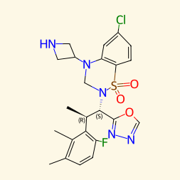 Cc1ccc(F)c([C@@H](C)[C@@H](c2nnco2)N2CN(C3CNC3)c3cc(Cl)ccc3S2(=O)=O)c1C